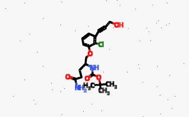 CC(C)(C)OC(=O)NC(CCC(N)=O)COc1cccc(C#CCO)c1Cl